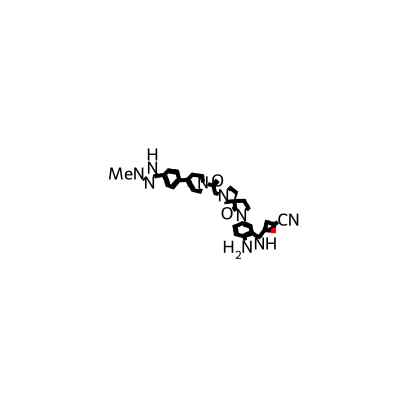 CN/C=N\C(=N)c1ccc(C2=CCN(C(=O)CN3CC[C@]4(CCN(c5ccc(N)c(C(=N)C67CC(C#N)(C6)C7)c5)C4=O)C3)CC2)cc1